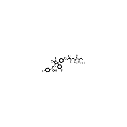 CC(C)[C@@H](NC(=O)CNC(=O)COc1ccc([C@]2(c3ccc(F)cc3)NC(=O)[C@@H]2SCC(O)c2ccc(F)cc2)cc1)C(=O)O